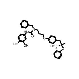 C[C@@](Cc1ccc(OCCCN(Cc2ccccc2)C(=O)Nc2ccc(O)c(O)c2)cc1)(Oc1ccccc1)C(=O)O